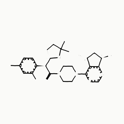 Cc1ccc([C@H](C(=O)N2CCN(c3ncnc4c3[C@H](C)C[C@H]4O)CC2)[C@@H]2CCC(C)(C)N2)c(F)c1